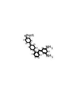 CCCCCC1CCC(C2CCC(c3ccccc3C=C3C=C(N)CC(N)=C3)CC2)CC1